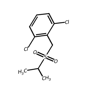 CC(C)S(=O)(=O)Cc1c(Cl)cccc1Cl